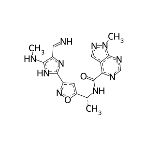 CNc1[nH]c(-c2cc([C@@H](C)NC(=O)c3ncnc4c3cnn4C)on2)nc1C=N